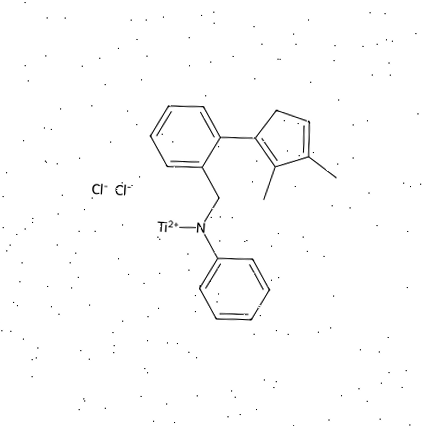 CC1=CCC(c2ccccc2C[N]([Ti+2])c2ccccc2)=C1C.[Cl-].[Cl-]